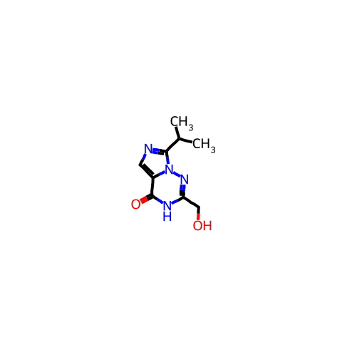 CC(C)c1ncc2c(=O)[nH]c(CO)nn12